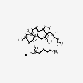 C[C@H](CCC(=O)O)[C@H]1CCC2C3CC[C@@H]4C[C@H](O)CC[C@]4(C)C3C[C@H](O)[C@@]21C.NCCCC[C@H](N)C(=O)O